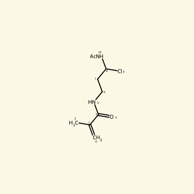 C=C(C)C(=O)NCCC(Cl)NC(C)=O